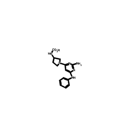 Nc1nc(Nc2ccccc2)cc(N2CCC(NC(=O)O)C2)n1